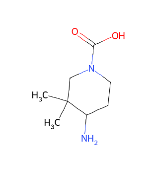 CC1(C)CN(C(=O)O)CCC1N